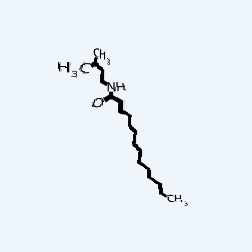 CCCCCCCCCCCCCC(=O)NCC[C](C)C